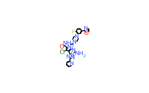 NC(=O)c1c(Cl)c2c(nc(N)n3nc(-c4ccccn4)nc23)n1CCN1CCN(c2cc(-c3ncco3)ccc2F)CC1